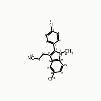 Cn1c(-c2ccc(Cl)cc2)c(CCC#N)c2cc(Cl)ccc21